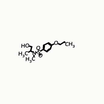 CCCOc1ccc(S(=O)(=O)N(C)C(C)CO)cc1